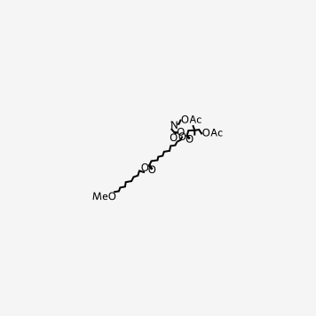 COCCCCCCCCCCOC(=O)CCCCCCCCC(COC(=O)CC(C)(C)CCOC(C)=O)OC(=O)CN(C)CCOC(C)=O